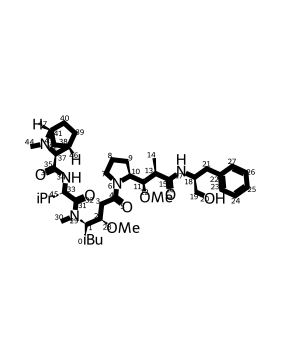 CC[C@H](C)[C@@H]([C@H](CC(=O)N1CCC[C@H]1[C@H](OC)[C@@H](C)C(=O)N[C@H](CO)Cc1ccccc1)OC)N(C)C(=O)[C@@H](NC(=O)[C@@H]1[C@H]2CC[C@H](C2)N1C)C(C)C